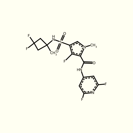 Cn1cc(S(=O)(=O)NC2(C)CC(F)(F)C2)c(F)c1C(=O)Nc1cc(F)nc(F)c1